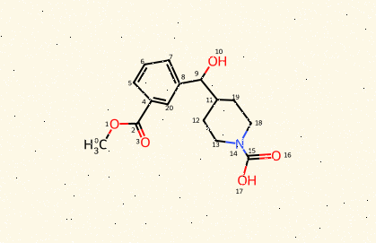 COC(=O)c1cccc(C(O)C2CCN(C(=O)O)CC2)c1